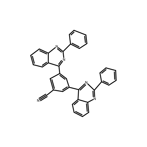 N#Cc1cc(-c2nc(-c3ccccc3)nc3ccccc23)cc(-c2nc(-c3ccccc3)nc3ccccc23)c1